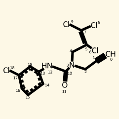 C#CCN(CC(Cl)=C(Cl)Cl)C(=O)Nc1cccc(Cl)c1